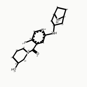 O=C(c1cc(NC2CC3CCC(C2)N3)ncc1F)N1CCCC(O)C1